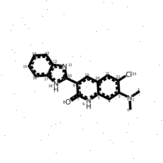 CN(C)c1cc2[nH]c(=O)c(-c3nc4ccccc4[nH]3)cc2cc1Cl